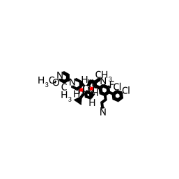 COc1nccc(N2C[C@@H]3C[C@H](C2)N(C(=O)C2CC2)[C@H]3c2cc3c(C)nc4c(F)c(-c5cccc(Cl)c5Cl)c(CCC#N)cc4c3n2[C@H]2[C@H]3CN[C@@H]2C3)c1C